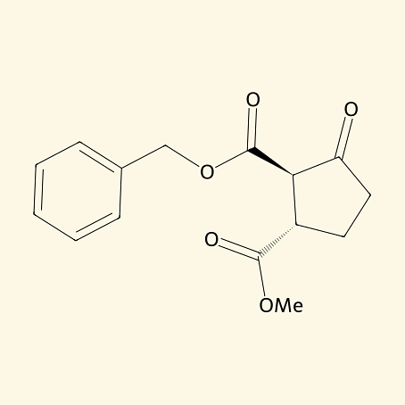 COC(=O)[C@H]1CCC(=O)[C@@H]1C(=O)OCc1ccccc1